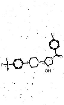 O=C(c1ccc(Cl)cc1)N1C[C@H](O)[C@@H](N2CCN(c3ccc(C(F)(F)F)cc3)CC2)C1